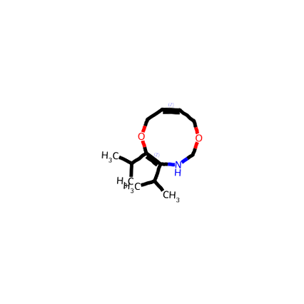 CC(C)/C1=C(\C(C)C)OC/C=C\COCN1